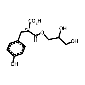 O=C(O)[C@H](Cc1ccc(O)cc1)NOCC(O)CO